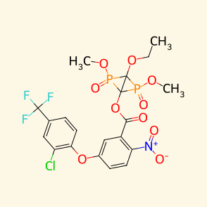 CCOC12C(OC(=O)c3cc(Oc4ccc(C(F)(F)F)cc4Cl)ccc3[N+](=O)[O-])(P1(=O)OC)P2(=O)OC